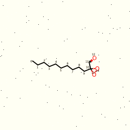 CCCCCCCCCCC1([C]=O)OO1